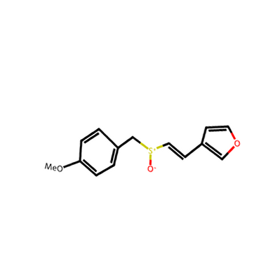 COc1ccc(C[S+]([O-])C=Cc2ccoc2)cc1